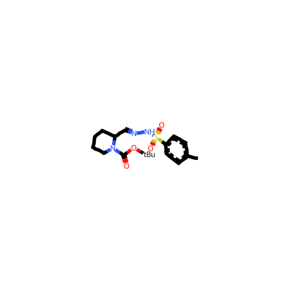 Cc1ccc(S(=O)(=O)NN=CC2CCCCN2C(=O)OC(C)(C)C)cc1